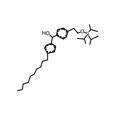 CCCCCCCCCCc1ccc(C(O)c2ccc(CCO[Si](C(C)C)(C(C)C)C(C)C)cc2)cc1